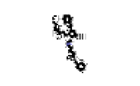 CCCCC(F)(F)C(=O)CC[C@@H]1[C@@H](C/C=C\CCCC(=O)OCc2ccccc2)[C@@H](O)C[C@H]1OCc1ccccc1